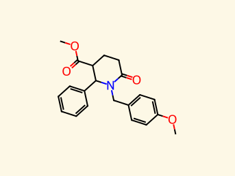 COC(=O)C1CCC(=O)N(Cc2ccc(OC)cc2)C1c1ccccc1